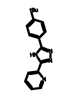 CC(C)(C)c1ccc(-c2nnc(-c3ccccn3)[nH]2)cc1